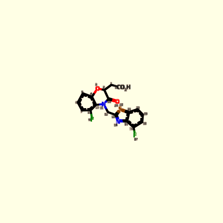 O=C(O)CC1Oc2cccc(F)c2N(Cc2nc3c(F)cccc3s2)C1=O